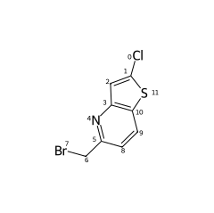 Clc1cc2nc(CBr)ccc2s1